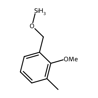 COc1c(C)cccc1CO[SiH3]